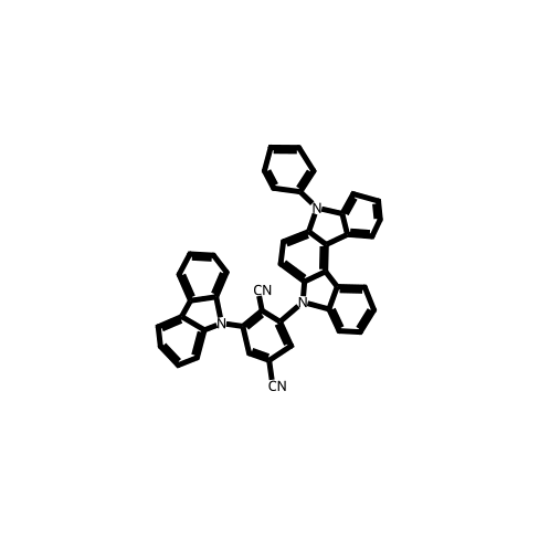 N#Cc1cc(-n2c3ccccc3c3ccccc32)c(C#N)c(-n2c3ccccc3c3c4c5ccccc5n(-c5ccccc5)c4ccc32)c1